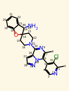 Cc1nccc(-c2c(C)nc(N3CCC4(CC3)Oc3ccccc3[C@H]4N)c3ccnn23)c1Cl